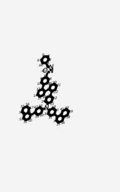 c1ccc(-c2nnc(-c3ccc(-c4ccccc4-c4ccccc4-c4ccc(N(c5ccc(-c6cccc7ccccc67)cc5)c5ccc(-c6cccc7ccccc67)cc5)cc4)cc3)o2)cc1